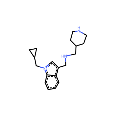 c1ccc2c(c1)c(CNCC1CCNCC1)cn2CC1CC1